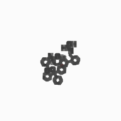 CCOc1nc2cccc(C(=O)OC(c3ccccc3)(c3ccccc3)c3ccccc3)c2n1Cc1ccc(-c2ccccc2C=NNO)cc1